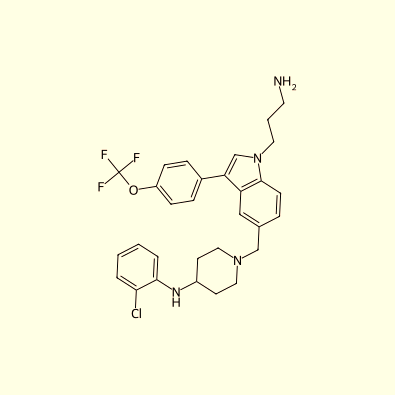 NCCCn1cc(-c2ccc(OC(F)(F)F)cc2)c2cc(CN3CCC(Nc4ccccc4Cl)CC3)ccc21